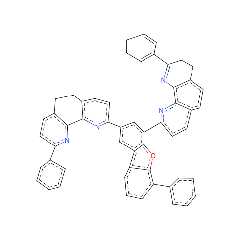 C1=CC(C2=Nc3c(ccc4ccc(-c5cc(-c6ccc7c(n6)-c6nc(-c8ccccc8)ccc6CC7)cc6c5oc5c(-c7ccccc7)cccc56)nc34)CC2)=CCC1